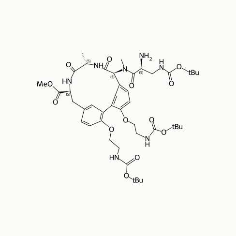 COC(=O)[C@@H]1Cc2ccc(OCCNC(=O)OC(C)(C)C)c(c2)-c2cc(ccc2OCCNC(=O)OC(C)(C)C)[C@H](N(C)C(=O)[C@@H](N)CNC(=O)OC(C)(C)C)C(=O)N[C@@H](C)C(=O)N1